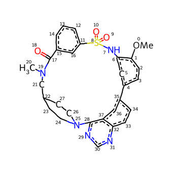 COc1ccc2cc1NS(=O)(=O)c1cccc(c1)C(=O)N(C)CC1CCN(CC1)c1ncnc3ccc-2cc13